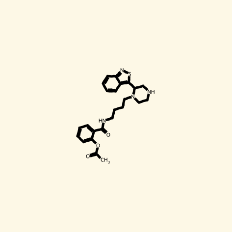 CC(=O)Oc1ccccc1C(=O)NCCCCN1CCNCC1c1snc2ccccc12